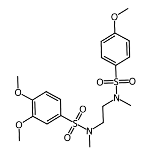 COc1ccc(S(=O)(=O)N(C)CCN(C)S(=O)(=O)c2ccc(OC)c(OC)c2)cc1